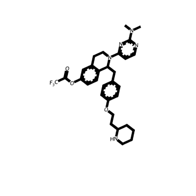 CN(C)c1nccc(N2CCc3cc(OC(=O)C(F)(F)F)ccc3C2Cc2ccc(OCCC3CCCCN3)cc2)n1